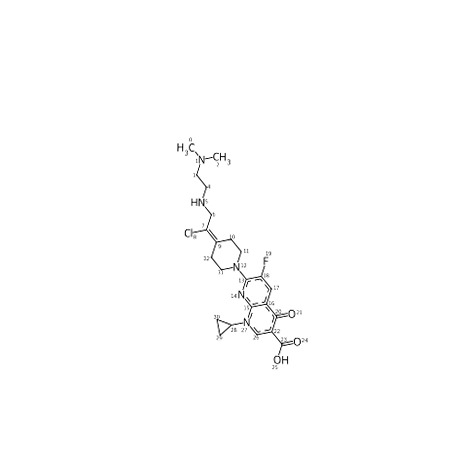 CN(C)CCNCC(Cl)=C1CCN(c2nc3c(cc2F)c(=O)c(C(=O)O)cn3C2CC2)CC1